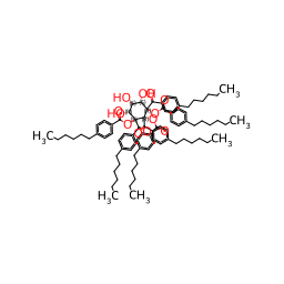 CCCCCCc1ccc(C(=O)O[C@@]2(C(=O)c3ccc(CCCCCC)cc3)[C@@](OC(=O)c3ccc(CCCCCC)cc3)(C(=O)c3ccc(CCCCCC)cc3)[C@@H](O)[C@H](O)[C@@H](O)[C@@]2(OC(=O)c2ccc(CCCCCC)cc2)C(=O)c2ccc(CCCCCC)cc2)cc1